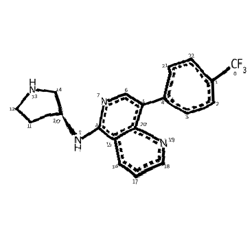 FC(F)(F)c1ccc(-c2cnc(N[C@H]3CCNC3)c3cccnc23)cc1